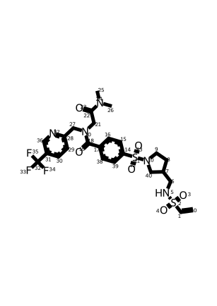 C=CS(=O)(=O)NCC1CCN(S(=O)(=O)c2ccc(C(=O)N(CC(=O)N(C)C)Cc3ccc(C(F)(F)F)cn3)cc2)C1